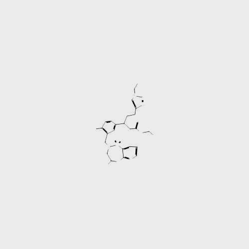 CCOC(=O)CC(CCc1cn(CC)nn1)c1ccc(C)c(CN2CC(C)Oc3ncccc3S2(=O)=O)c1